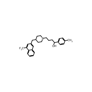 Cc1ccc(C(O)CCCN2CCC(Cc3cc(C(F)(F)F)c4ccccc4c3)CC2)cc1